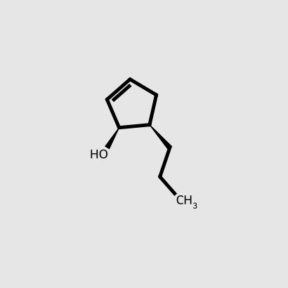 CCC[C@@H]1CC=C[C@@H]1O